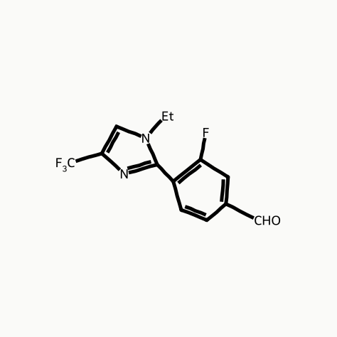 CCn1cc(C(F)(F)F)nc1-c1ccc(C=O)cc1F